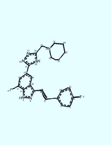 Fc1ccc(C=Cc2n[nH]c3c(F)cc(-c4nnc(CN5CCCCC5)[nH]4)cc23)cc1